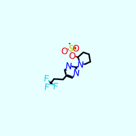 CS(=O)(=O)OC1CCCCN1c1ncc(CCC(F)(F)F)cn1